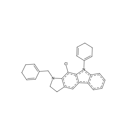 Clc1c2c(cc3c4ccccc4n(C4=CCCC=C4)c13)CCN2CC1=CCCC=C1